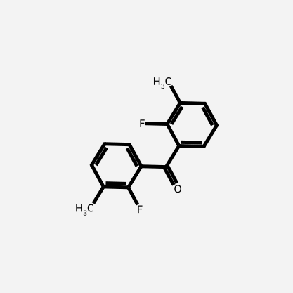 Cc1cccc(C(=O)c2cccc(C)c2F)c1F